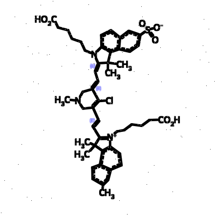 Cc1ccc2c3c(ccc2c1)[N+](CCCCCC(=O)O)=C(/C=C/C1=C(Cl)C(=C/C=C2/N(CCCCCC(=O)O)c4ccc5cc(S(=O)(=O)[O-])ccc5c4C2(C)C)/CN(C)C1)C3(C)C